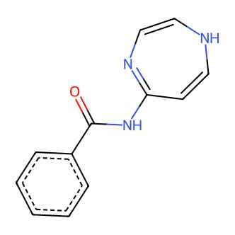 O=C(NC1=NC=CNC=C1)c1ccccc1